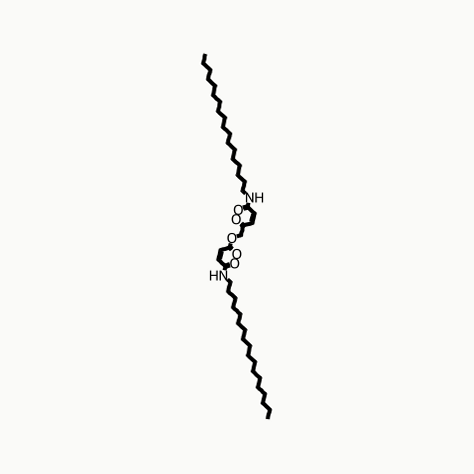 CCCCCCCCCCCCCCCCCCNC(=O)/C=C\C(=O)COC(=O)/C=C\C(=O)NCCCCCCCCCCCCCCCCCC